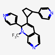 FC(F)(F)N1c2cnccc2C=C(C2CCC2c2ccncc2)C1c1ccncc1